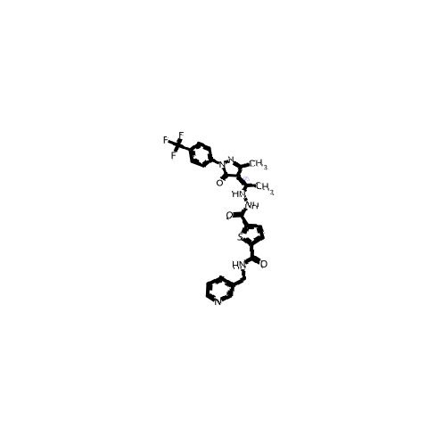 CC1=NN(c2ccc(C(F)(F)F)cc2)C(=O)/C1=C(/C)NNC(=O)c1ccc(C(=O)NCc2cccnc2)s1